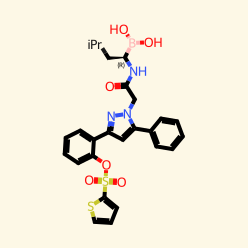 CC(C)C[C@H](NC(=O)Cn1nc(-c2ccccc2OS(=O)(=O)c2cccs2)cc1-c1ccccc1)B(O)O